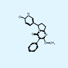 COc1nc2n(c(=O)c1-c1ccccc1)C(C1=CNC(Cl)C=C1)CC2